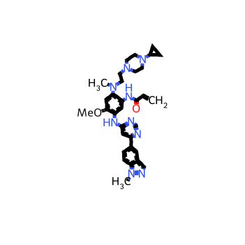 C=CC(=O)Nc1cc(Nc2cc(-c3ccc4c(cnn4C)c3)ncn2)c(OC)cc1N(C)CCN1CCN(C2CC2)CC1